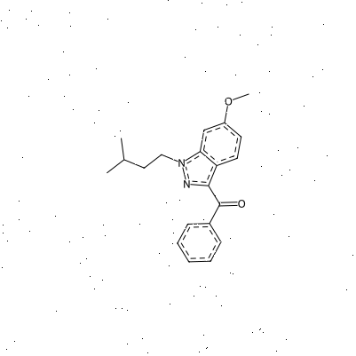 COc1ccc2c(C(=O)c3ccccc3)nn(CCC(C)C)c2c1